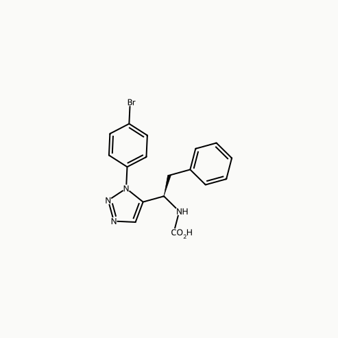 O=C(O)N[C@H](Cc1ccccc1)c1cnnn1-c1ccc(Br)cc1